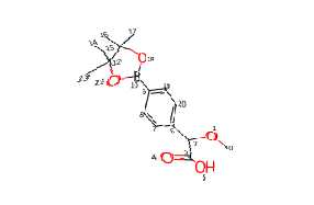 COC(C(=O)O)c1ccc(B2OC(C)(C)C(C)(C)O2)cc1